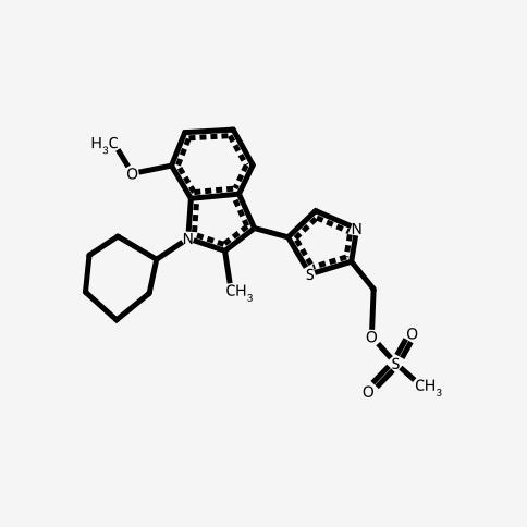 COc1cccc2c(-c3cnc(COS(C)(=O)=O)s3)c(C)n(C3CCCCC3)c12